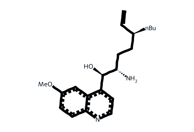 C=C[C@@H](CCCC)CC[C@H](N)[C@H](O)c1ccnc2ccc(OC)cc12